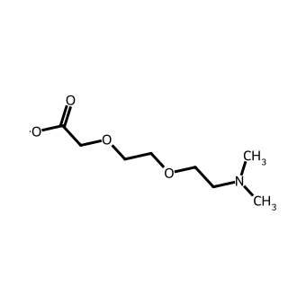 CN(C)CCOCCOCC([O])=O